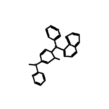 CC1C=C(N(C)c2ccccc2)C=CC1N(c1ccccc1)c1cccc2ccccc12